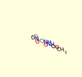 COc1ccc(CNC(=O)NC2CCC(C(=O)N3CCCc4ccccc43)CC2)cc1